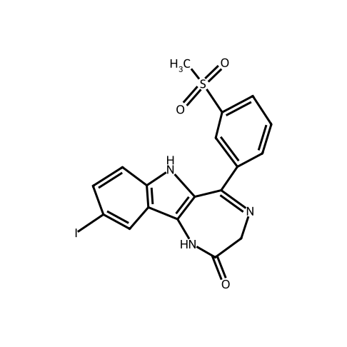 CS(=O)(=O)c1cccc(C2=NCC(=O)Nc3c2[nH]c2ccc(I)cc32)c1